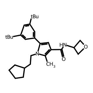 Cc1c(C(=O)NC2COC2)cc(-c2cc(C(C)(C)C)cc(C(C)(C)C)c2)n1CCC1CCCC1